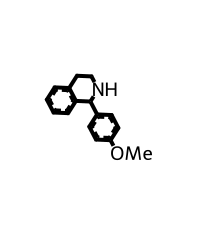 COc1ccc(C2NCCc3ccccc32)cc1